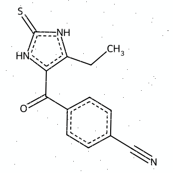 CCc1[nH]c(=S)[nH]c1C(=O)c1ccc(C#N)cc1